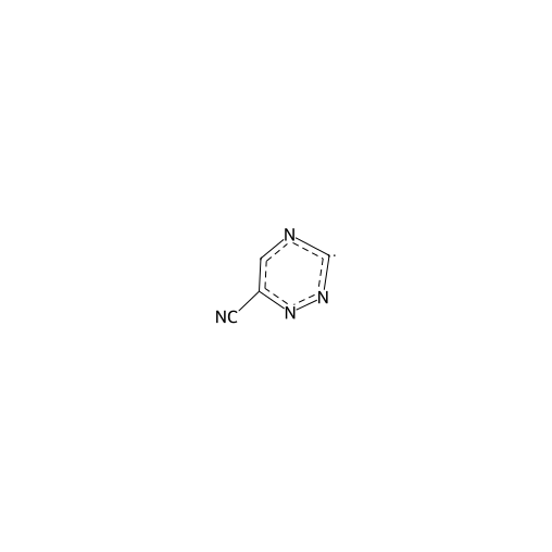 N#Cc1cn[c]nn1